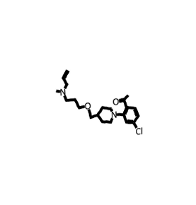 C=CCN(C)CCCOCC1CCN(c2cc(Cl)ccc2C(C)=O)CC1